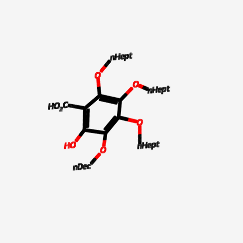 CCCCCCCCCCOc1c(O)c(C(=O)O)c(OCCCCCCC)c(OCCCCCCC)c1OCCCCCCC